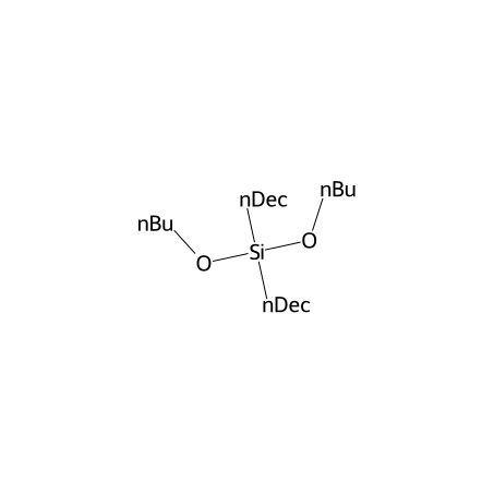 CCCCCCCCCC[Si](CCCCCCCCCC)(OCCCC)OCCCC